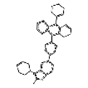 Cc1nc2ccc(-c3ccc(-c4c5c(c(C6=CCCC=C6)c6ccccc46)C=CCC5)cc3)cc2n1C1CC=CCC1